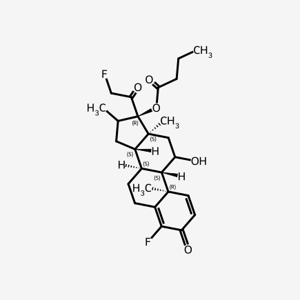 CCCC(=O)O[C@]1(C(=O)CF)C(C)C[C@H]2[C@@H]3CCC4=C(F)C(=O)C=C[C@]4(C)[C@H]3C(O)C[C@@]21C